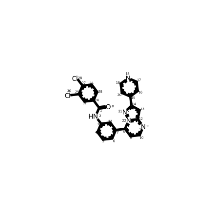 O=C(Nc1cccc(-c2ccnc3cc(-c4ccncc4)nn23)c1)c1ccc(Cl)c(Cl)c1